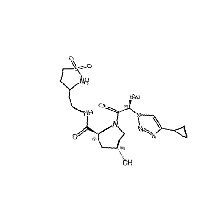 CC(C)(C)[C@H](C(=O)N1C[C@H](O)C[C@H]1C(=O)NCC1CCS(=O)(=O)N1)n1cc(C2CC2)nn1